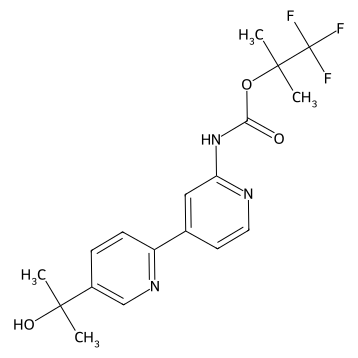 CC(C)(O)c1ccc(-c2ccnc(NC(=O)OC(C)(C)C(F)(F)F)c2)nc1